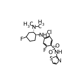 CN(C)[C@H]1CC(F)CC[C@@H]1Nc1cc(F)c(S(=O)(=O)Nc2nccs2)cc1Cl